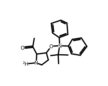 [2H]N1CCC(O[Si](c2ccccc2)(c2ccccc2)C(C)(C)C)C1C(C)=O